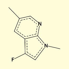 Cc1cnc2c(c1)c(F)cn2C